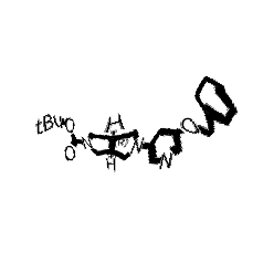 CC(C)(C)OC(=O)N1C[C@@H]2CN(c3cncc(OCc4ccccc4)c3)C[C@@H]2C1